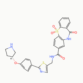 O=C(NCc1cnc(-c2ccc(O[C@@H]3CCNC3)cc2)s1)c1ccc2c(c1)NC(=O)c1ccccc1S2(=O)=O